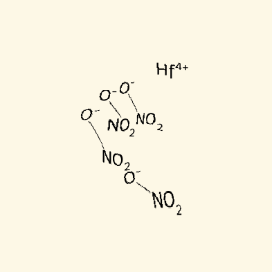 O=[N+]([O-])[O-].O=[N+]([O-])[O-].O=[N+]([O-])[O-].O=[N+]([O-])[O-].[Hf+4]